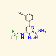 C#Cc1cccc(-c2cc(NCC(F)(F)F)c3ncnc(N)c3n2)c1